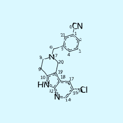 N#Cc1cccc(CN2CCc3[nH]c4ncc(Cl)cc4c3C2)c1